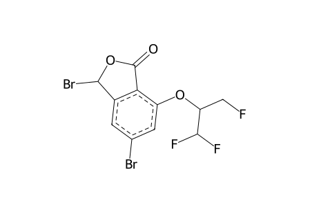 O=C1OC(Br)c2cc(Br)cc(OC(CF)C(F)F)c21